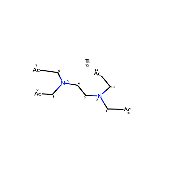 CC(=O)CN(CCN(CC(C)=O)CC(C)=O)CC(C)=O.[Ti]